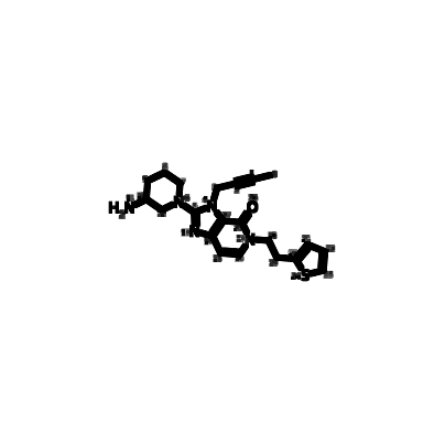 CC#CCn1c(N2CCCC(N)C2)nc2ccn(CCc3cccs3)c(=O)c21